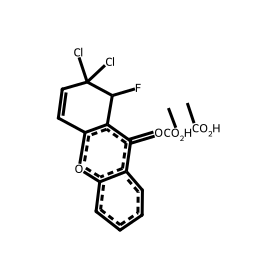 CC(=O)O.CC(=O)O.O=c1c2c(oc3ccccc13)C=CC(Cl)(Cl)C2F